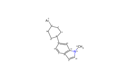 CC(=O)C1CCC(c2ccc3ccn(C)c3c2)CC1